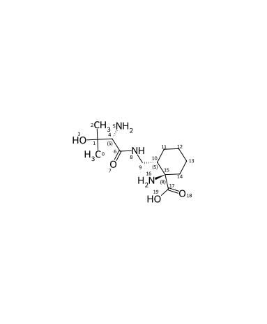 CC(C)(O)[C@H](N)C(=O)NC[C@@H]1CCCC[C@]1(N)C(=O)O